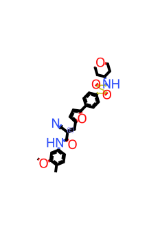 COc1cc(NC(=O)/C(C#N)=C/c2ccc(-c3ccc(S(=O)(=O)NC4CCOCC4)cc3)o2)ccc1C